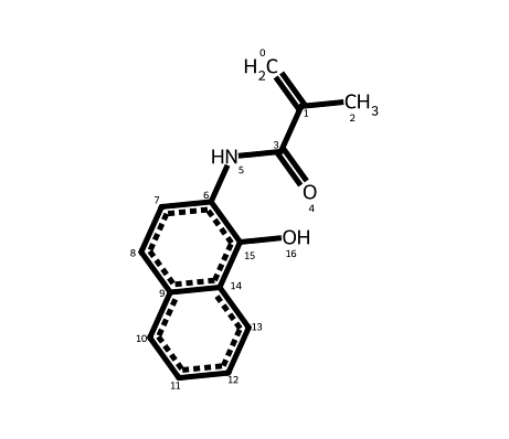 C=C(C)C(=O)Nc1ccc2ccccc2c1O